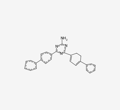 Nc1nc(C2=CC=C(c3ccccc3)CC2)nc(-c2ccc(-c3ccccc3)cc2)n1